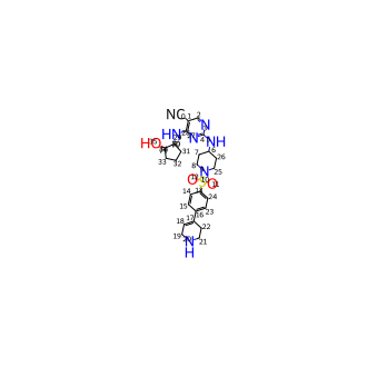 N#Cc1cnc(NC2CCN(S(=O)(=O)c3ccc(C4=CCNCC4)cc3)CC2)nc1N[C@@H]1CCC[C@H]1O